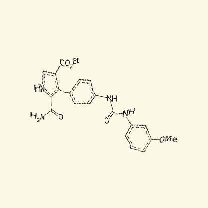 CCOC(=O)c1c[nH]c(C(N)=O)c1-c1ccc(NC(=O)Nc2cccc(OC)c2)cc1